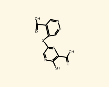 O=C(O)c1cnncc1Sc1cnc(S)c(C(=O)O)n1